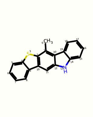 Cc1c2sc3ccccc3c2cc2[nH]c3ccccc3c12